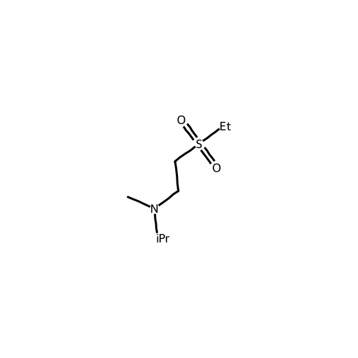 CCS(=O)(=O)CCN(C)C(C)C